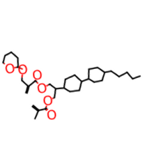 C=C(C)C(=O)OCC(COC(=O)C(=C)COC1CCCCO1)C1CCC(C2CCC(CCCCC)CC2)CC1